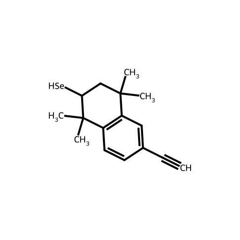 C#Cc1ccc2c(c1)C(C)(C)CC([SeH])C2(C)C